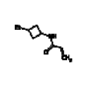 C=CC(=O)NC1CC(CC)C1